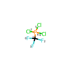 FC(F)(F)[P](Cl)(Cl)Cl